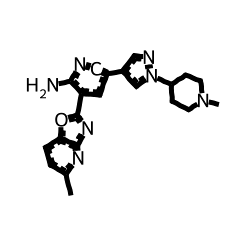 Cc1ccc2oc(-c3cc(-c4cnn(C5CCN(C)CC5)c4)cnc3N)nc2n1